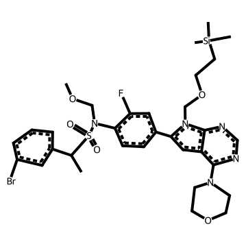 COCN(c1ccc(-c2cc3c(N4CCOCC4)ncnc3n2COCC[Si](C)(C)C)cc1F)S(=O)(=O)C(C)c1cccc(Br)c1